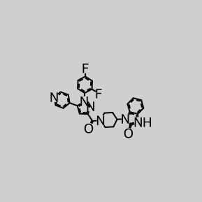 O=C(c1cc(-c2ccncc2)n(-c2ccc(F)cc2F)n1)N1CCC(n2c(=O)[nH]c3ccccc32)CC1